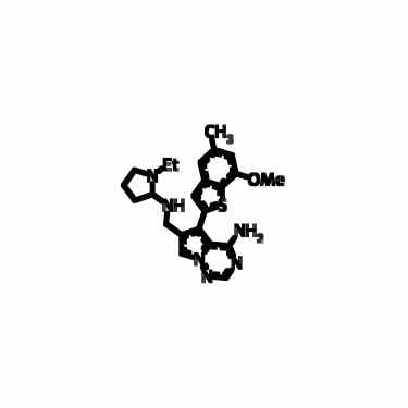 CCN1CCCC1NCc1cn2ncnc(N)c2c1-c1cc2cc(C)cc(OC)c2s1